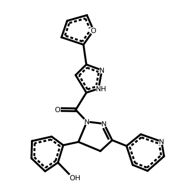 O=C(c1cc(-c2ccco2)n[nH]1)N1N=C(c2cccnc2)CC1c1ccccc1O